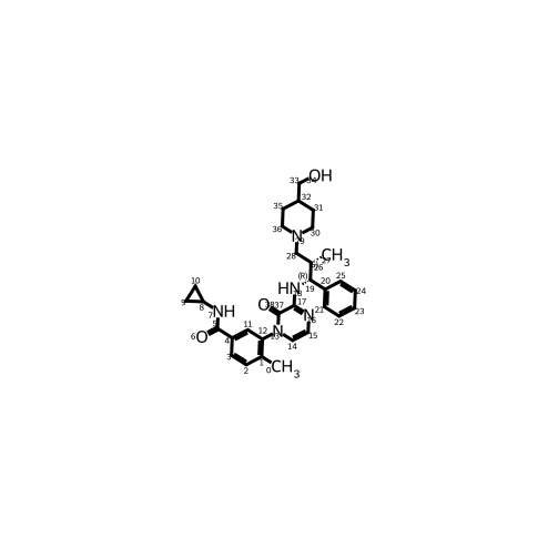 Cc1ccc(C(=O)NC2CC2)cc1-n1ccnc(N[C@@H](c2ccccc2)[C@@H](C)CN2CCC(CO)CC2)c1=O